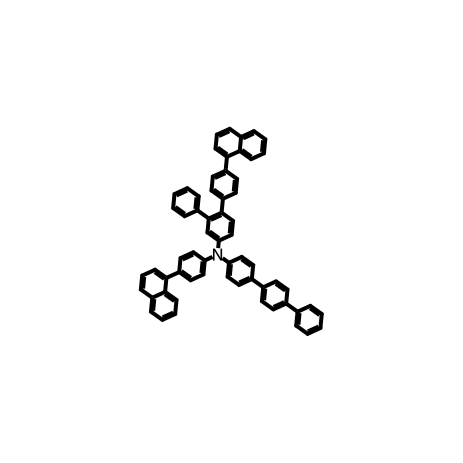 c1ccc(-c2ccc(-c3ccc(N(c4ccc(-c5cccc6ccccc56)cc4)c4ccc(-c5ccc(-c6cccc7ccccc67)cc5)c(-c5ccccc5)c4)cc3)cc2)cc1